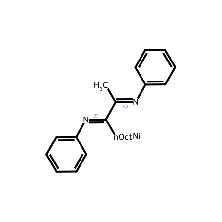 CCCCCCCCC(=N\c1ccccc1)/C(C)=N/c1ccccc1.[Ni]